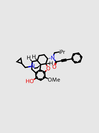 COc1cc(O)c2c3c1O[C@H]1[C@@H](N(CC(C)C)C(=O)C#Cc4ccccc4)CC[C@H]4[C@@H](C2)N(CC2CC2)CC[C@@]341